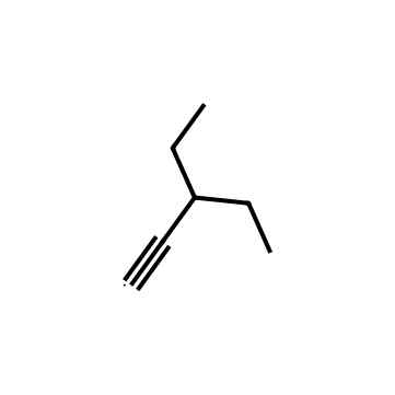 [C]#CC(CC)CC